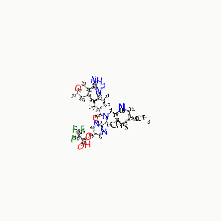 C[C@H](c1ncccn1)N(Cc1ccc(C(F)(F)F)cn1)C(=O)c1ccc2nc(N)c3c(c2c1)CCOC3.O=C(O)C(F)(F)F